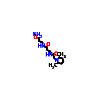 C[C@@H]1CCC[C@H](C)N1CC(=O)NCCC(=O)NCCCON